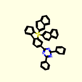 c1ccc(-c2nc(-c3ccccc3)nc(-c3ccc4c(c3)S(c3ccc5ccccc5c3)(c3ccc5ccccc5c3)c3ccccc3-4)n2)cc1